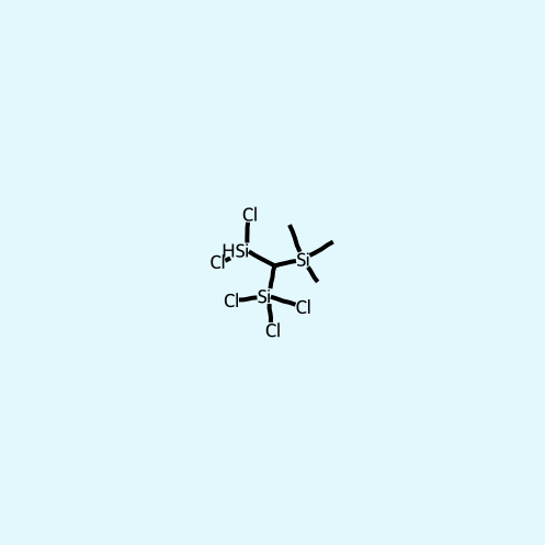 C[Si](C)(C)C([SiH](Cl)Cl)[Si](Cl)(Cl)Cl